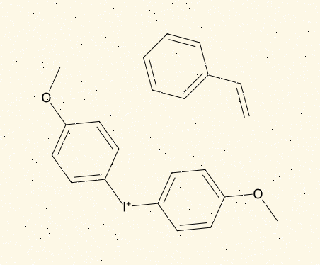 C=Cc1ccccc1.COc1ccc([I+]c2ccc(OC)cc2)cc1